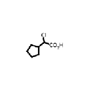 O=C(O)C(Cl)C1CCCC1